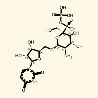 N[C@H]1[C@@H](OC[C@H]2O[C@@H](n3ccc(=O)[nH]c3=O)[C@H](O)[C@@H]2O)O[C@@](CO)(P(=O)(O)OP(=O)(O)O)[C@@H](O)[C@@H]1O